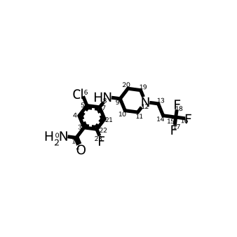 NC(=O)c1cc(Cl)c(NC2CCN(CCC(F)(F)F)CC2)cc1F